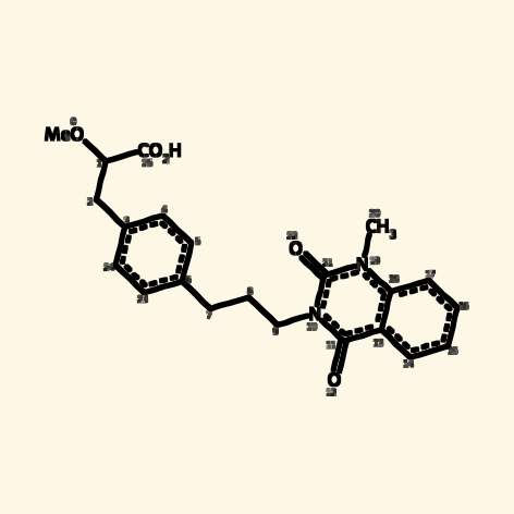 COC(Cc1ccc(CCCn2c(=O)c3ccccc3n(C)c2=O)cc1)C(=O)O